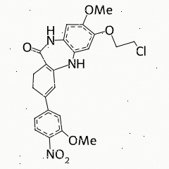 COc1cc2c(cc1OCCCl)NC1=C(CCC(c3ccc([N+](=O)[O-])c(OC)c3)=C1)C(=O)N2